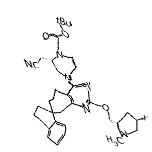 CN1C[C@H](F)C[C@H]1COc1nc2c(c(N3CCN(C(=O)OC(C)(C)C)[C@@H](CC#N)C3)n1)CCC1(CCc3ccccc31)C2